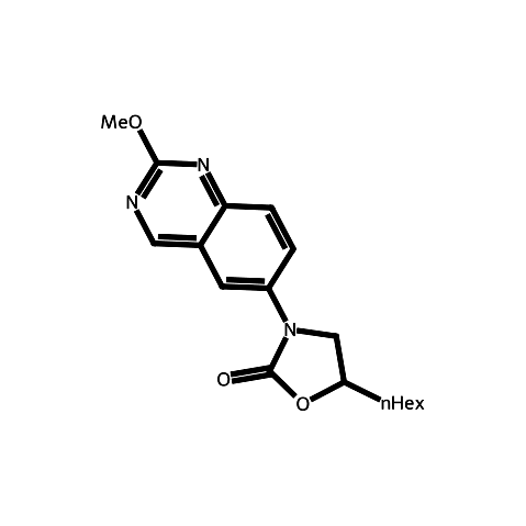 CCCCCCC1CN(c2ccc3nc(OC)ncc3c2)C(=O)O1